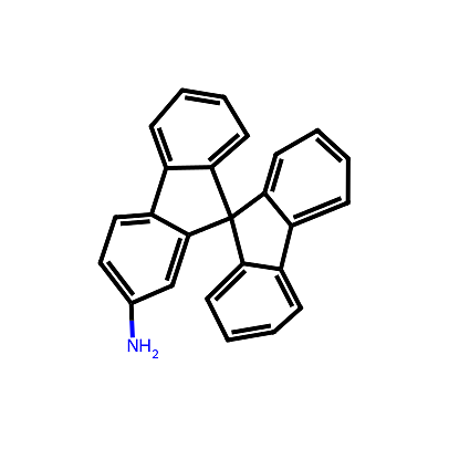 Nc1ccc2c(c1)C1(c3ccccc3-c3ccccc31)c1ccccc1-2